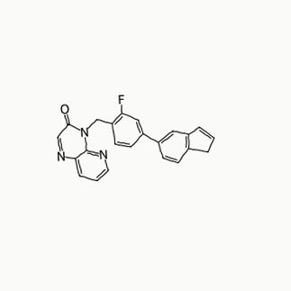 O=c1cnc2cccnc2n1Cc1ccc(-c2ccc3c(c2)C=CC3)cc1F